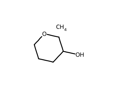 C.OC1CCCOC1